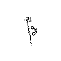 C(=NC1CCCCC1)=NC1CCCCC1.CCCCCCCCCCCCCCCCCCCCC(O)C(=O)O